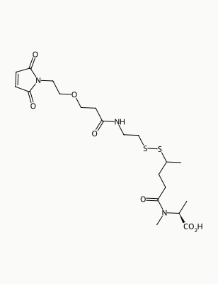 CC(CCC(=O)N(C)[C@@H](C)C(=O)O)SSCCNC(=O)CCOCCN1C(=O)C=CC1=O